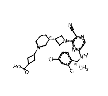 C[C@@H](Nc1cnc(C#N)c(N2CC([C@H]3CCCN(C4CC(C(=O)O)C4)C3)C2)n1)c1ccc(Cl)cc1Cl